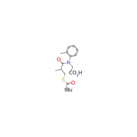 Cc1ccccc1N(CC(=O)O)C(=O)C(C)CSC(=O)C(C)(C)C